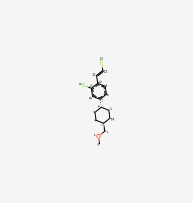 COC[C@H]1CC[C@H](c2ccc(C=CF)c(F)c2)CC1